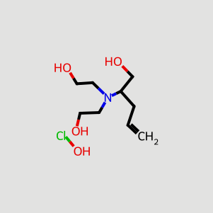 C=CCC(CO)N(CCO)CCO.OCl